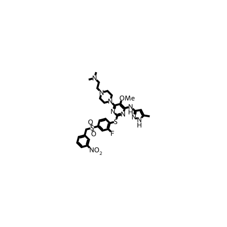 COc1c(Nc2cc(C)[nH]n2)nc(Sc2ccc(S(=O)(=O)Cc3cccc([N+](=O)[O-])c3)cc2F)nc1N1CCN(CCN(C)C)CC1